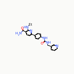 CCNc1nc(-c2ccc(NC(=O)NCc3cccnc3)cc2)ccc1C(N)=O